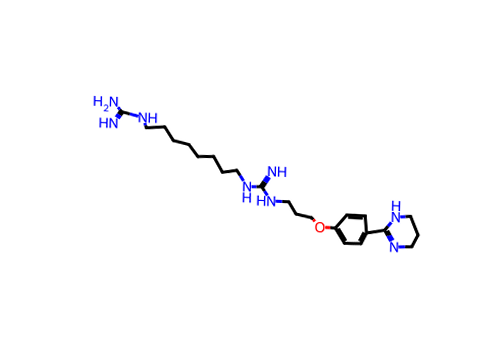 N=C(N)NCCCCCCCCNC(=N)NCCCOc1ccc(C2=NCCCN2)cc1